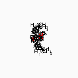 CC(C)(C)C1=CC2=CC=C3C=CC(c4cc(-c5cccc(-c6ccccc6)c5)c5c(c4)C(C(F)(F)F)(C(F)(F)F)c4cc(-c6ccc7c8c9c(ccc68)C=C(C(C)(C)C)CC9=CC7)cc(-c6cccc(-c7ccccc7)c6)c4-5)=C4C=CC(=C1)C2C34